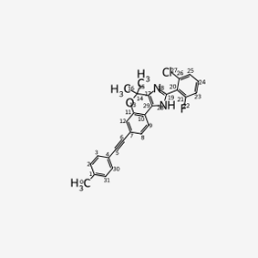 Cc1ccc(C#Cc2ccc3c(c2)OC(C)(C)c2nc(-c4c(F)cccc4Cl)[nH]c2-3)cc1